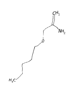 C=C(N)COCCCCC